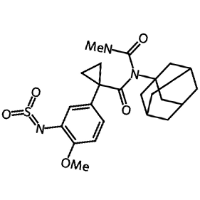 CNC(=O)N(C(=O)C1(c2ccc(OC)c(N=S(=O)=O)c2)CC1)C12CC3CC(CC(C3)C1)C2